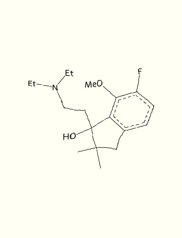 CCN(CC)CCC1(O)c2c(ccc(F)c2OC)CC1(C)C